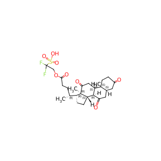 C[C@H](CCC(=O)OCC(F)(F)S(=O)(=O)O)[C@H]1CC[C@H]2[C@@H]3C(=O)C[C@@H]4CC(=O)CC[C@]4(C)[C@H]3CC(=O)[C@]12C